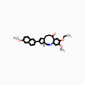 CCOc1cc2c(cc1OC)/N=C\[C@@H]1CC(c3ccc4cc(OC)ccc4c3)=CC1CCC2=O